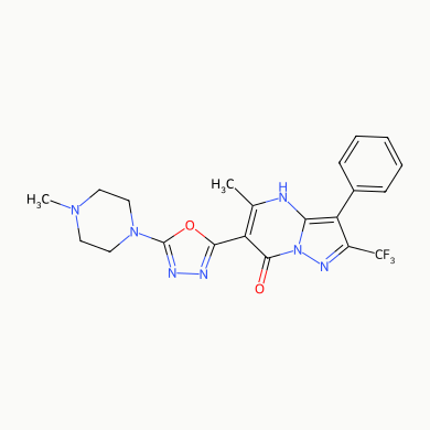 Cc1[nH]c2c(-c3ccccc3)c(C(F)(F)F)nn2c(=O)c1-c1nnc(N2CCN(C)CC2)o1